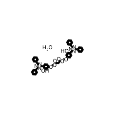 O.O=C(CC(=O)OCOc1ccc(-c2nc(-c3ccccc3)nc(-c3ccccc3)n2)c(O)c1)OCOc1ccc(-c2nc(-c3ccccc3)nc(-c3ccccc3)n2)c(O)c1